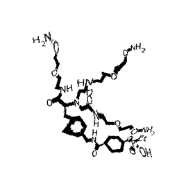 CCP(=O)(O)O[C@H]1CC[C@@H](C(=O)NCc2ccc(C[C@@H](C(=O)NCCOCCON)N(CC(=O)NCCOCCON)CC(=O)NCCOCCON)cc2)CC1